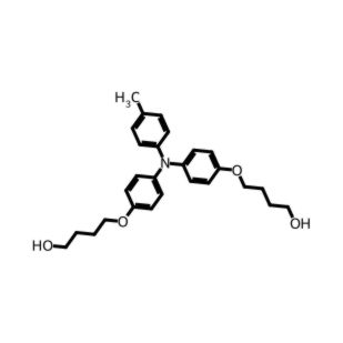 Cc1ccc(N(c2ccc(OCCCCO)cc2)c2ccc(OCCCCO)cc2)cc1